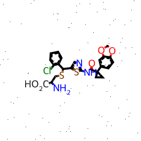 NC(CSC(c1cnc(NC(=O)C2(c3ccc4c(c3)OCO4)CC2)s1)c1ccccc1Cl)C(=O)O